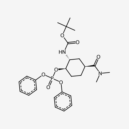 CN(C)C(=O)[C@H]1CC[C@@H](OP(=O)(Oc2ccccc2)Oc2ccccc2)[C@H](NC(=O)OC(C)(C)C)C1